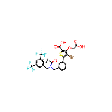 CC(=O)N(Cc1cccc(-c2sc(C(=O)O)c(OCC(=O)O)c2Br)c1)Cc1cc(C(F)(F)F)cc(C(F)(F)F)c1